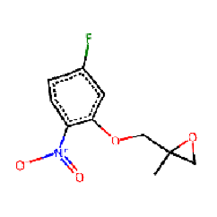 CC1(COc2cc(F)ccc2[N+](=O)[O-])CO1